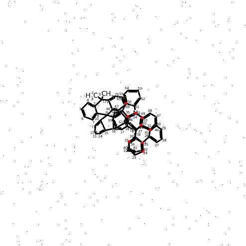 CC1(C)c2ccccc2C2(c3ccccc3-c3cc(N(c4ccccc4-c4ccccc4-c4ccccc4-c4ccccc4)c4ccccc4-n4c5ccccc5c5ccccc54)ccc32)c2ccccc21